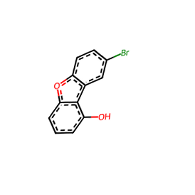 Oc1cccc2oc3ccc(Br)cc3c12